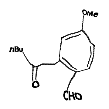 CCCCC(=O)c1cc(OC)ccc1C=O